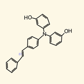 Oc1cccc(N(c2ccc(/C=C/c3ccccc3)cc2)c2cccc(O)c2)c1